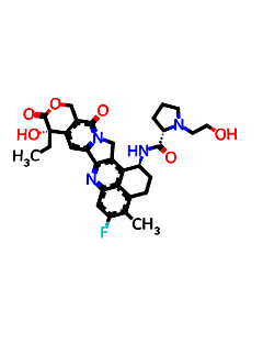 CC[C@@]1(O)C(=O)OCc2c1cc1n(c2=O)Cc2c-1nc1cc(F)c(C)c3c1c2[C@@H](NC(=O)[C@@H]1CCCN1CCO)CC3